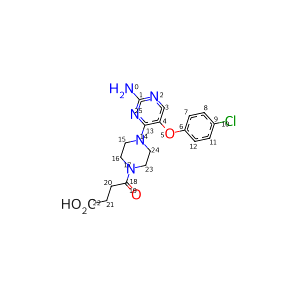 Nc1ncc(Oc2ccc(Cl)cc2)c(N2CCN(C(=O)CCC(=O)O)CC2)n1